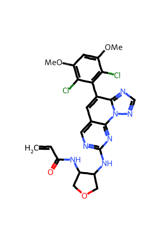 C=CC(=O)NC1COCC1Nc1ncc2cc(-c3c(Cl)c(OC)cc(OC)c3Cl)c3ncnn3c2n1